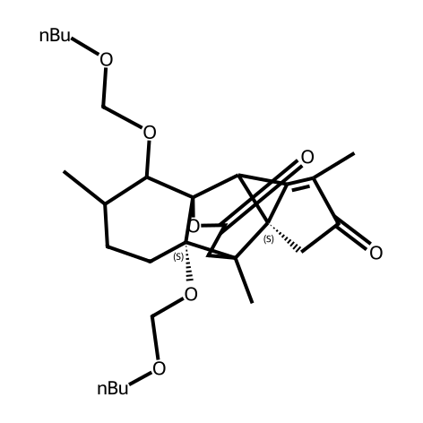 CCCCOCOC1C(C)CC[C@@]2(OCOCCCC)C13OC(=O)CC2(C)[C@]12CC(=O)C(C)=C1C32